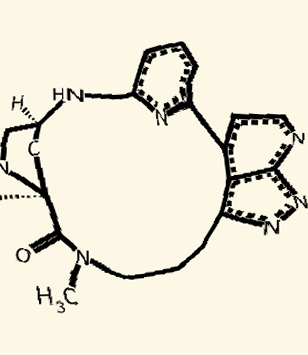 CN1CCCc2n[nH]c3nccc(c23)-c2cccc(n2)N[C@@H]2CN[C@@H](C2)C1=O